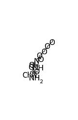 COCCOCCOCCOC(=O)CN1CC[C@H](NC(=O)c2cc(Cl)c(N)nc2OC)[C@H](OC)C1